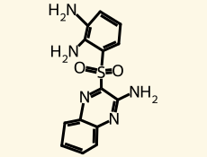 Nc1cccc(S(=O)(=O)c2nc3ccccc3nc2N)c1N